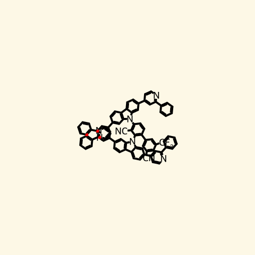 N#Cc1cc(-c2ccc(-n3c4cc(-c5ccnc(-c6ccccc6)c5)ccc4c4ccc(-c5ccnc(-c6ccccc6)c5)cc43)c(C#N)c2-n2c3cc(-c4ccnc(-c5ccccc5)c4)ccc3c3ccc(-c4ccnc(-c5ccccc5)c4)cc32)cc(C(F)(F)F)c1